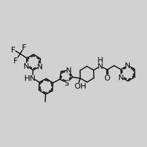 Cc1cc(Nc2nccc(C(F)(F)F)n2)cc(-c2cnc(C3(O)CCC(NC(=O)Cc4ncccn4)CC3)s2)c1